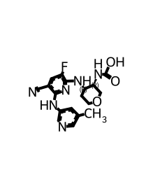 Cc1cncc(Nc2nc(N[C@@H]3CCOC[C@@H]3NC(=O)O)c(F)cc2C#N)c1